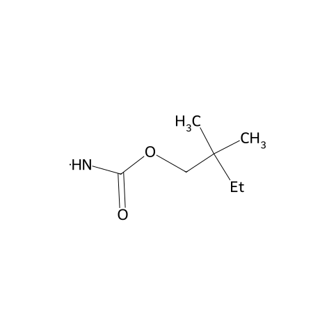 CCC(C)(C)COC([NH])=O